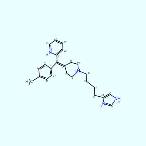 Cc1ccc(C(=C2CCN(CCCCc3c[nH]cn3)CC2)c2ccccn2)cc1